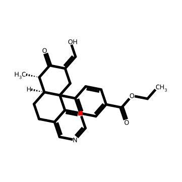 CCOC(=O)c1ccc(C23CC(=CO)C(=O)[C@@H](C)[C@@H]2CCc2cncnc23)cc1